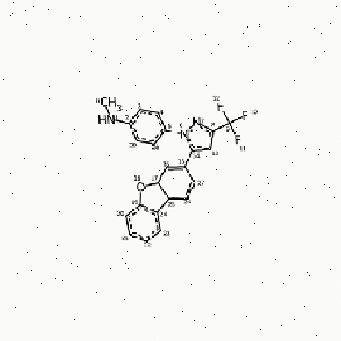 CNc1ccc(-n2nc(C(F)(F)F)cc2C2=CC3Oc4ccccc4C3C=C2)cc1